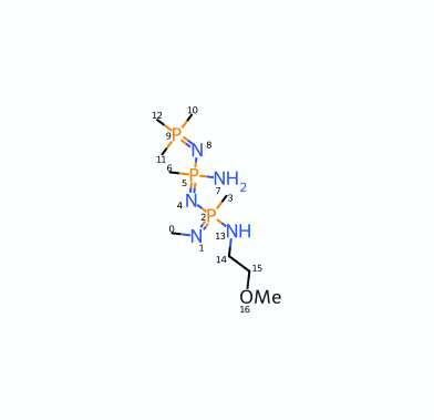 CN=P(C)(N=P(C)(N)N=P(C)(C)C)NCCOC